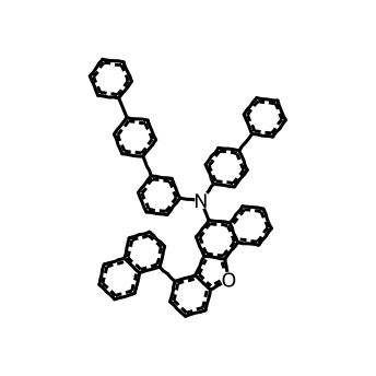 c1ccc(-c2ccc(-c3cccc(N(c4ccc(-c5ccccc5)cc4)c4cc5c(oc6cccc(-c7cccc8ccccc78)c65)c5ccccc45)c3)cc2)cc1